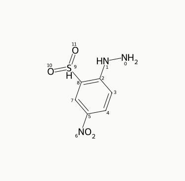 NNc1ccc([N+](=O)[O-])cc1[SH](=O)=O